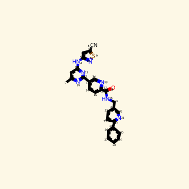 Cc1cc(Nc2cc(C#N)sn2)nc(-c2ccc(C(=O)NCc3ccc(-c4ccccc4)nc3)nc2)n1